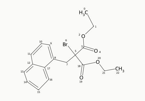 CCOC(=O)C(Br)(Cc1cccc2ccccc12)C(=O)OCC